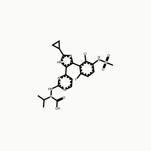 CC(C)N(Nc1nccc(-c2[nH]c(C3CC3)nc2-c2c(F)ccc(NS(C)(=O)=O)c2Cl)n1)C(=O)O